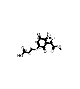 COC(=O)c1n[nH]c2c1C(=O)C(SCCC(=O)O)=CC2=O